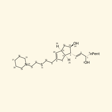 CCCCC[C@H](O)/C=C/[C@@H]1[C@H]2CC(CCSCCN3CCCCC3)=C[C@H]2C[C@H]1O